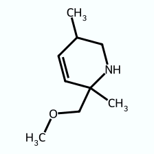 COCC1(C)C=CC(C)CN1